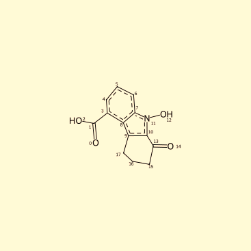 O=C(O)c1cccc2c1c1c(n2O)C(=O)CCC1